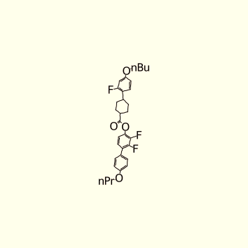 CCCCOc1ccc(C2CCC(C(=O)Oc3ccc(-c4ccc(OCCC)cc4)c(F)c3F)CC2)c(F)c1